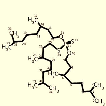 CC(C)CCCC(C)CCOP(=S)(OCCC(C)CCCC(C)C)SCCC(C)CCCC(C)C